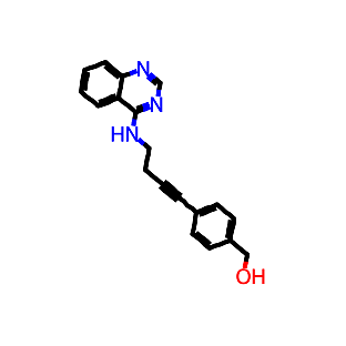 OCc1ccc(C#CCCNc2ncnc3ccccc23)cc1